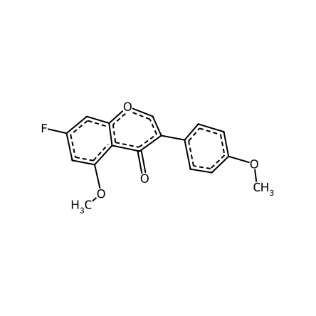 COc1ccc(-c2coc3cc(F)cc(OC)c3c2=O)cc1